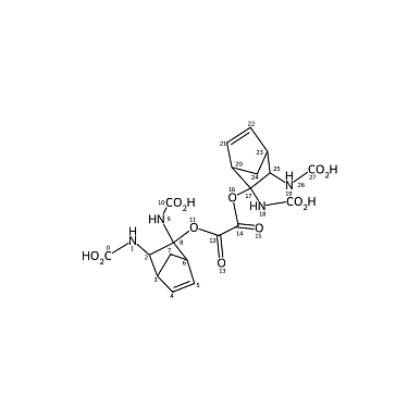 O=C(O)NC1C2C=CC(C2)C1(NC(=O)O)OC(=O)C(=O)OC1(NC(=O)O)C2C=CC(C2)C1NC(=O)O